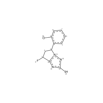 FC1CC(c2ccccc2Cl)n2nc(S)nc21